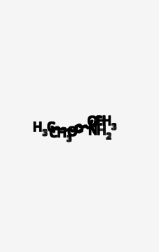 CCCC(N)(CO)CCc1ccc(OCCCCCC(C)C)cc1